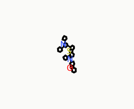 c1ccc(-c2cc(-c3cccc4c3sc3c4ccc4c3c3ccccc3n4-c3ccc4c(c3)oc3ccccc34)cc(-c3ccccc3)n2)cc1